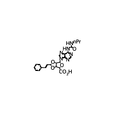 CCCNC(=O)Nc1ncnc2c1ncn2C1OC(C(=O)O)C2OC(/C=C/c3ccccc3)OC21